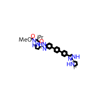 COC(=O)N[C@H](C(=O)N1[C@@H](C)CC[C@H]1c1nc2cc(-c3ccc(-c4ccc(-c5c[nH]c([C@@H]6CC[C@H](C)N6)n5)cc4)cc3)ccc2[nH]1)C(C)C